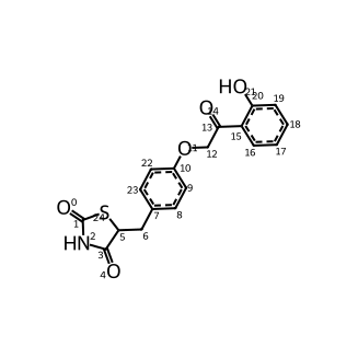 O=C1NC(=O)C(Cc2ccc(OCC(=O)c3ccccc3O)cc2)S1